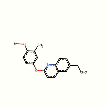 Cc1cc(Oc2ccc3cc(CC=O)ccc3n2)ccc1OC(C)C